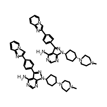 CN1CCN([C@H]2CC[C@@H](n3nc(-c4ccc(-c5cn6ccccc6n5)cc4)c4c(N)ncnc43)CC2)CC1.CN1CCN([C@H]2CC[C@@H](n3nc(-c4ccc(-c5cn6ccccc6n5)cc4)c4c(N)ncnc43)CC2)CC1